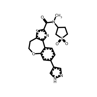 CN(C(=O)c1nc2c(s1)CCOc1cc(-c3cn[nH]c3)ccc1-2)C1CCS(=O)(=O)C1